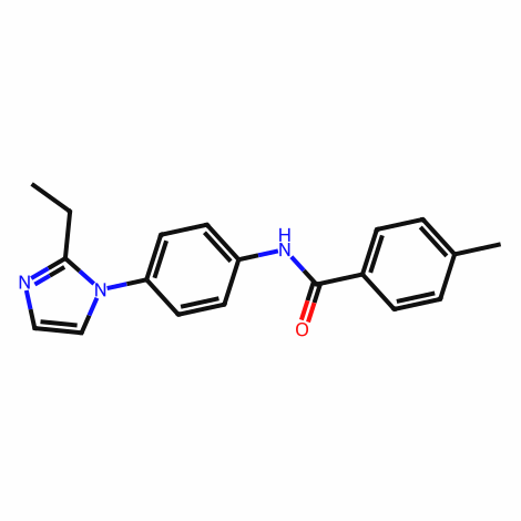 CCc1nccn1-c1ccc(NC(=O)c2ccc(C)cc2)cc1